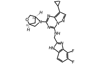 Fc1ccc2[nH]c(CNc3nc(N4C[C@@H]5C[C@H]4CO5)nc4c(C5CC5)cnn34)nc2c1F